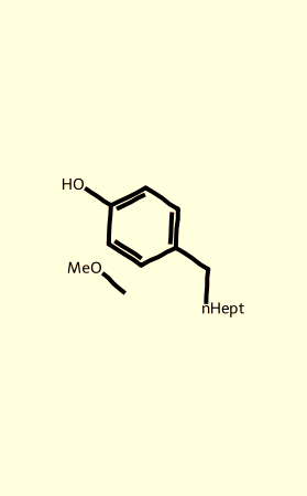 CCCCCCCCc1ccc(O)cc1.COC